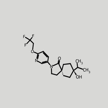 CC(C)[C@]1(O)CC[C@@]2(CCN(c3ccc(OCC(F)(F)F)nc3)C2=O)CC1